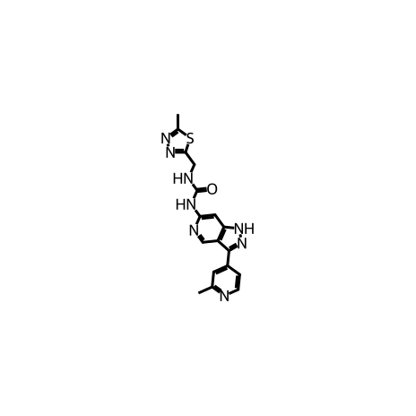 Cc1cc(-c2n[nH]c3cc(NC(=O)NCc4nnc(C)s4)ncc23)ccn1